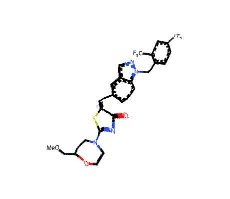 COCC1CN(C2=NC(=O)/C(=C\c3ccc4c(cnn4Cc4ccc(C(F)(F)F)cc4C(F)(F)F)c3)S2)CCO1